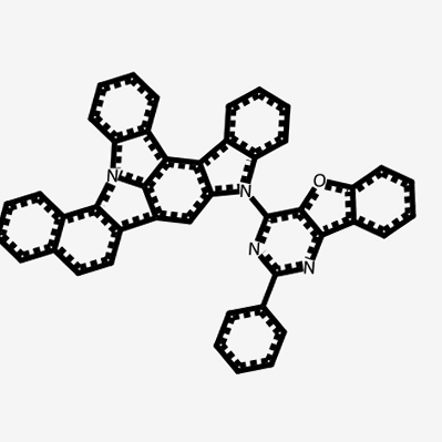 c1ccc(-c2nc(-n3c4ccccc4c4c5c6ccccc6n6c7c8ccccc8ccc7c(cc43)c56)c3oc4ccccc4c3n2)cc1